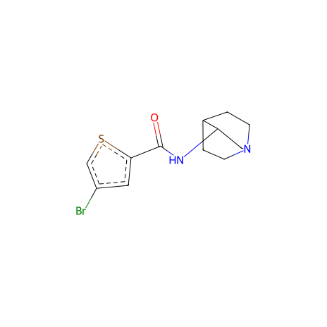 O=C(NC1CN2CCC1CC2)c1cc(Br)cs1